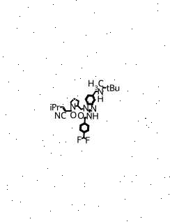 CC(C)C=C(C#N)C(=O)N1CCCC1Cn1c(NC(=O)c2ccc(C(F)F)cc2)nc2cc(CNC(C)C(C)(C)C)ccc21